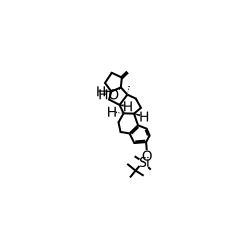 C=C1CC[C@H]2C[C@H]3[C@@H]4CCc5cc(O[Si](C)(C)C(C)(C)C)ccc5[C@H]4CC[C@]3(C)[C@@]12O